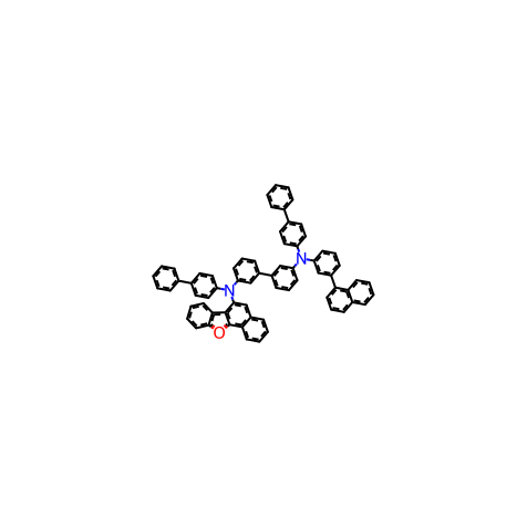 c1ccc(-c2ccc(N(c3cccc(-c4cccc(N(c5ccc(-c6ccccc6)cc5)c5cc6ccccc6c6oc7ccccc7c56)c4)c3)c3cccc(-c4cccc5ccccc45)c3)cc2)cc1